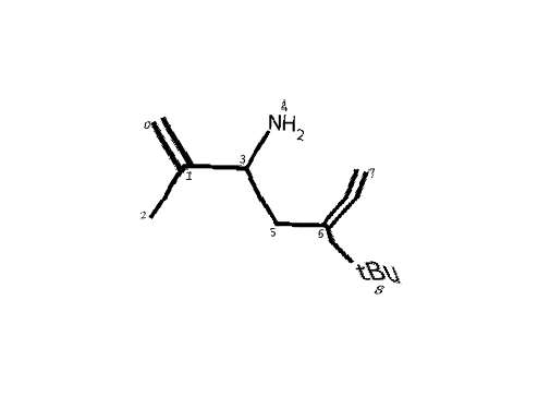 C=C(C)C(N)CC(=C)C(C)(C)C